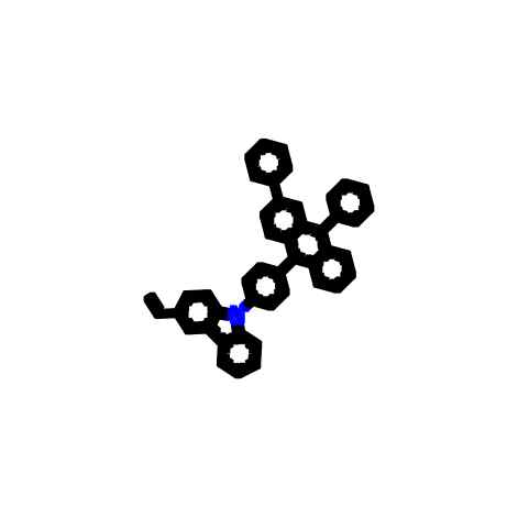 C=Cc1ccc2c(c1)c1ccccc1n2-c1ccc(-c2c3ccccc3c(-c3ccccc3)c3cc(-c4ccccc4)ccc23)cc1